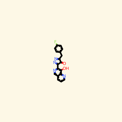 O=C1C(Cc2ccc(F)cc2)=NN=C1c1ncc2cccnc2c1O